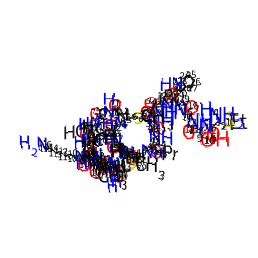 CCSC[C@H](N)C(=O)N[C@@H](CO)C(=O)NCC(=O)N[C@@H](Cc1c[nH]c2ccccc12)C(=O)N[C@H](C(=O)NC(=O)N[C@H]1C(=O)N[C@@H](CC(C)C)C(=O)NC2C(=O)N[C@@H](C(C)CC)C(=O)N[C@@H](CCC(=O)O)C(=O)N[C@@H](CS[C@H]1C)C(=O)NCC(=O)N[C@@H]1C(=O)N[C@@H](CC(C)C)C(=O)N[C@@H](C(C)C)C(=O)N[C@@H](CS[C@H]2C)C(=O)N[C@@H](C)C(=O)N[C@H](C(=O)NCCCCCCCN)CS[C@H]1C)C(C)C